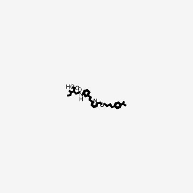 CCC(C)C(CC(=O)Nc1cccc(/C=C/c2cccc(COCCCCc3ccc(C(C)C)cc3)n2)c1)C(=O)O